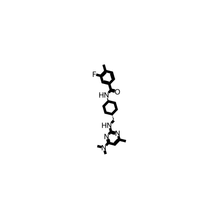 Cc1cc(N(C)C)nc(NC[C@H]2CC[C@@H](NC(=O)c3ccc(C)c(F)c3)CC2)n1